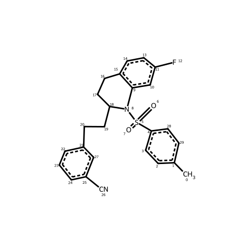 Cc1ccc(S(=O)(=O)N2c3cc(F)ccc3CCC2CCc2cccc(C#N)c2)cc1